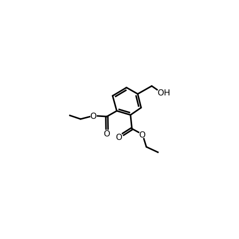 CCOC(=O)c1ccc(CO)cc1C(=O)OCC